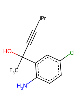 CC(C)C#CC(O)(c1cc(Cl)ccc1N)C(F)(F)F